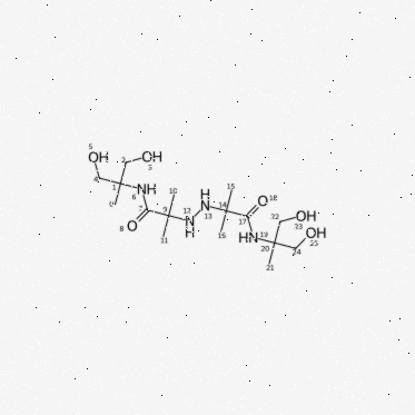 CC(CO)(CO)NC(=O)C(C)(C)NNC(C)(C)C(=O)NC(C)(CO)CO